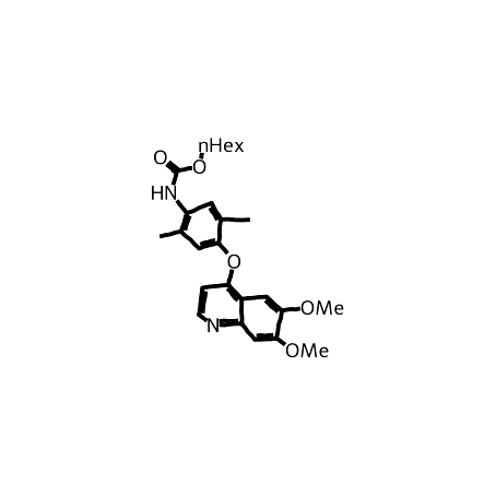 CCCCCCOC(=O)Nc1cc(C)c(Oc2ccnc3cc(OC)c(OC)cc23)cc1C